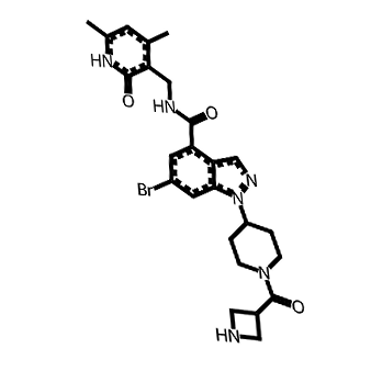 Cc1cc(C)c(CNC(=O)c2cc(Br)cc3c2cnn3C2CCN(C(=O)C3CNC3)CC2)c(=O)[nH]1